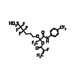 C=C(F)C(=O)OC(OCCCC(F)(F)C(F)(F)S(=O)(=O)O)(C(=O)Nc1ccc(C(F)(F)F)cc1)C(F)(F)F